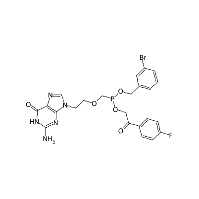 Nc1nc2c(ncn2CCOCP(OCC(=O)c2ccc(F)cc2)OCc2cccc(Br)c2)c(=O)[nH]1